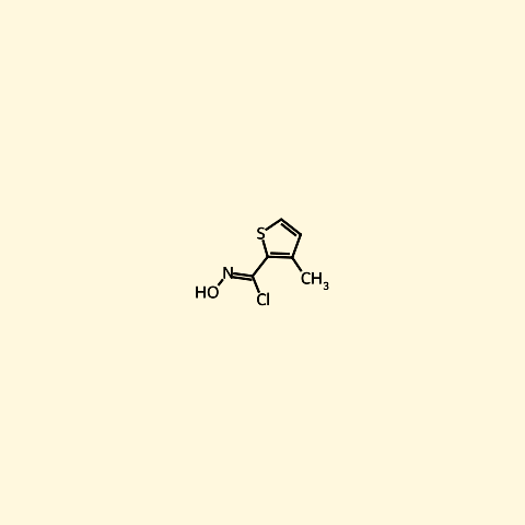 Cc1ccsc1C(Cl)=NO